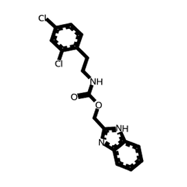 O=C(NCCc1ccc(Cl)cc1Cl)OCc1nc2ccccc2[nH]1